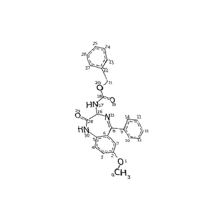 COc1ccc2c(c1)C(c1ccccc1)=NC(NC(=O)OCc1ccccc1)C(=O)N2